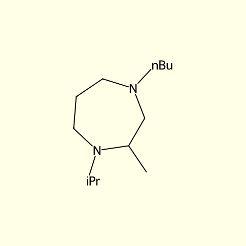 CCCCN1CCCN(C(C)C)C(C)C1